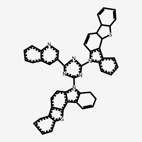 C1=CC2SC3c4c(n(-c5nc(-c6cnc7ccccc7c6)nc(-n6c7c(c8c9sc%10ccccc%10c9ccc86)C=CCC7)n5)c5ccccc45)C=CC3C2C=C1